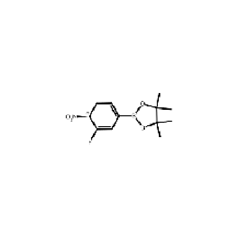 CC1(C)OB(C2=CC[C@H]([N+](=O)[O-])C(F)=C2)OC1(C)C